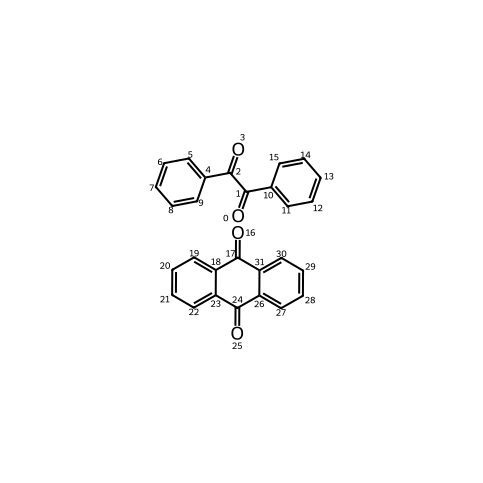 O=C(C(=O)c1ccccc1)c1ccccc1.O=C1c2ccccc2C(=O)c2ccccc21